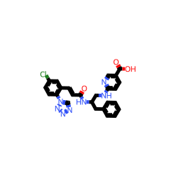 O=C(/C=C/c1cc(Cl)ccc1-n1cnnn1)NC(CNc1ccc(C(=O)O)cn1)Cc1ccccc1